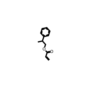 C=CC(=O)OCC(C)c1ccccc1